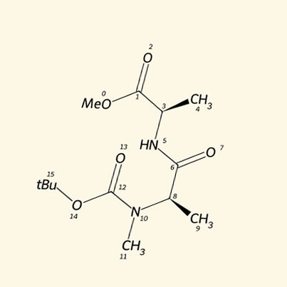 COC(=O)[C@@H](C)NC(=O)[C@@H](C)N(C)C(=O)OC(C)(C)C